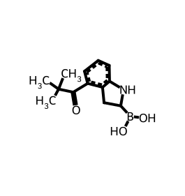 CC(C)(C)C(=O)c1cccc2c1CC(B(O)O)N2